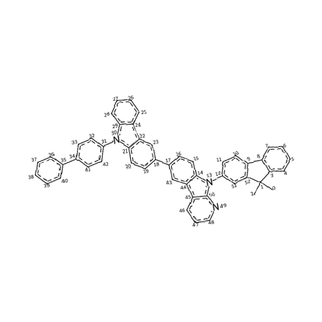 CC1(C)c2ccccc2-c2ccc(-n3c4ccc(-c5ccc6c(c5)c5ccccc5n6-c5ccc(-c6ccccc6)cc5)cc4c4cccnc43)cc21